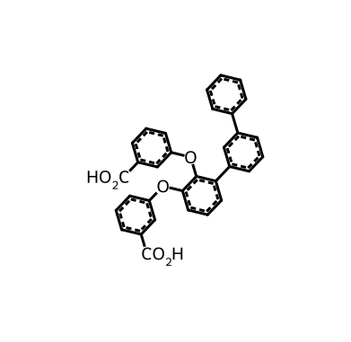 O=C(O)c1cccc(Oc2cccc(-c3cccc(-c4ccccc4)c3)c2Oc2cccc(C(=O)O)c2)c1